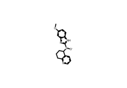 COc1ccc2[nH]c([S+]([O-])C3CCCc4ncccc43)nc2c1